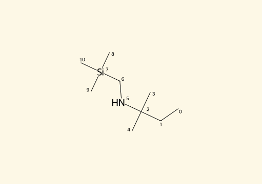 CCC(C)(C)NC[Si](C)(C)C